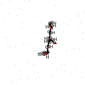 C#CCOCCNC(O)c1cc(NC(=O)CCCCCNC(=O)CCCCC2SCC3N/C(=N/C(=O)OC(C)(C)C)NC32)cc(NC(=O)CCCCCNC(=O)CCCCC2SCC3N/C(=N\C(=O)OC(C)(C)C)NC32)c1